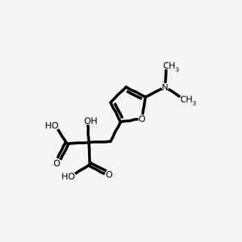 CN(C)c1ccc(CC(O)(C(=O)O)C(=O)O)o1